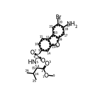 COC(=O)[C@@H](NS(=O)(=O)c1ccc2c(c1)oc1cc(N)c(Br)cc12)C(C)C